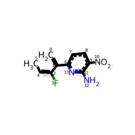 C=C(/C(F)=C\C)c1ccc([N+](=O)[O-])c(N)n1